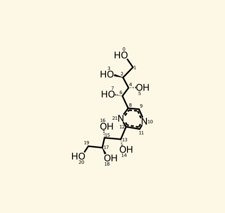 OC[C@H](O)[C@H](O)[C@@H](O)c1cncc([C@H](O)[C@@H](O)[C@@H](O)CO)n1